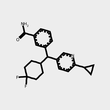 NC(=O)c1cccc(C(c2ccc(C3CC3)nc2)C2CCC(F)(F)CC2)c1